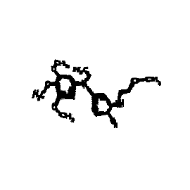 CCN(c1ccc(C#N)c(NCCOC)c1)c1cc(OC)c(OC)c(OC)c1